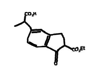 CCOC(=O)C1Cc2cc(C(C)C(=O)O)ccc2C1=O